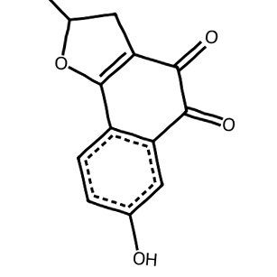 CC1CC2=C(O1)c1ccc(O)cc1C(=O)C2=O